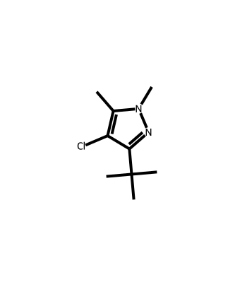 Cc1c(Cl)c(C(C)(C)C)nn1C